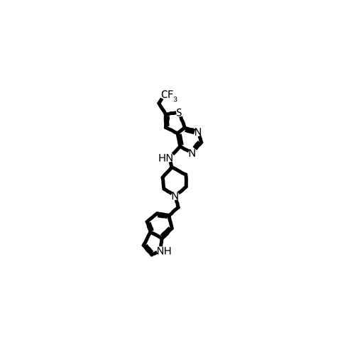 FC(F)(F)Cc1cc2c(NC3CCN(Cc4ccc5cc[nH]c5c4)CC3)ncnc2s1